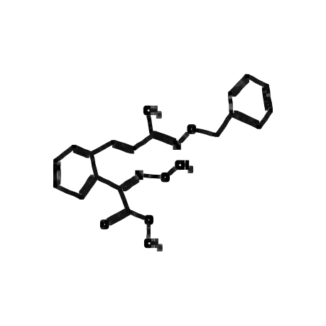 CON=C(C(=O)OC)c1ccccc1C=C/C(C)=N/OCc1ccccc1